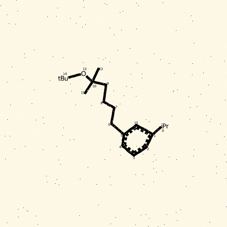 CC(C)c1cccc(CCCCC(C)(C)OC(C)(C)C)c1